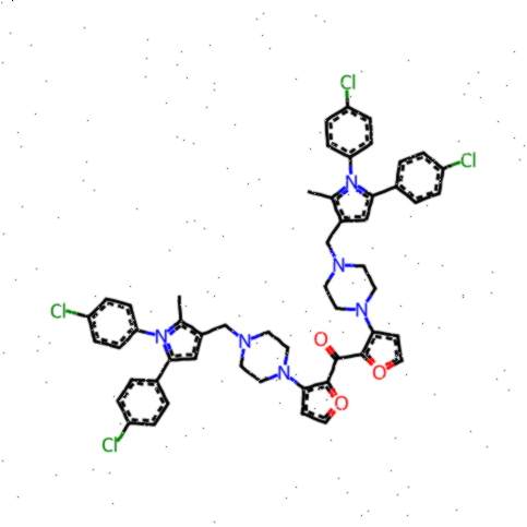 Cc1c(CN2CCN(c3ccoc3C(=O)c3occc3N3CCN(Cc4cc(-c5ccc(Cl)cc5)n(-c5ccc(Cl)cc5)c4C)CC3)CC2)cc(-c2ccc(Cl)cc2)n1-c1ccc(Cl)cc1